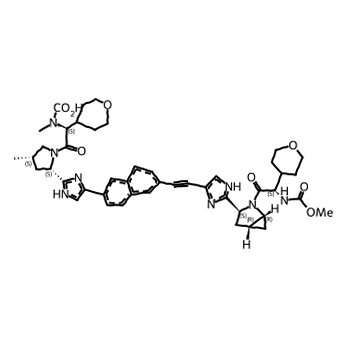 COC(=O)N[C@H](C(=O)N1[C@@H]2C[C@@H]2C[C@H]1c1nc(C#Cc2ccc3cc(-c4c[nH]c([C@@H]5C[C@H](C)CN5C(=O)[C@H](C5CCOCC5)N(C)C(=O)O)n4)ccc3c2)c[nH]1)C1CCOCC1